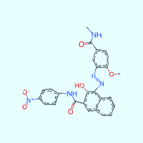 CNC(=O)c1ccc(OC)c(/N=N/c2c(O)c(C(=O)Nc3ccc([N+](=O)[O-])cc3)cc3ccccc23)c1